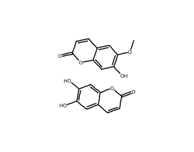 COc1cc2ccc(=O)oc2cc1O.O=c1ccc2cc(O)c(O)cc2o1